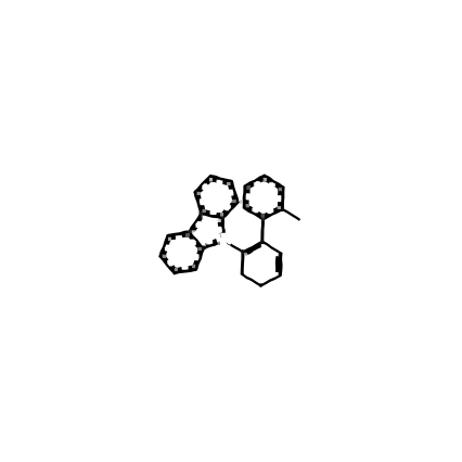 Cc1ccccc1C1=C(n2c3ccccc3c3ccccc32)CCC=C1